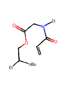 C=CC(=O)N(CC)CC(=O)OCC(CC)CCCC